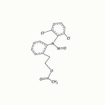 CC(=O)OCCc1ccccc1N(N=O)c1c(Cl)cccc1Cl